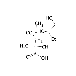 CC(=O)O.CC(C)(C)C(=O)O.CCC(O)CO